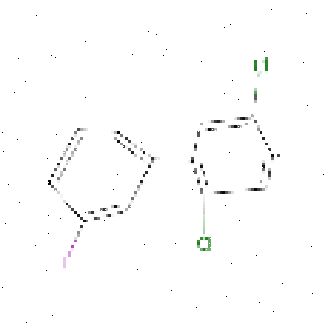 Clc1[c]cc(Cl)c(-c2cccc(I)c2)c1